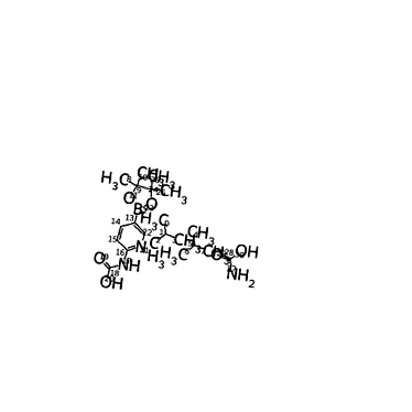 CC(C)C.CC(C)C.CC1(C)OB(c2ccc(NC(=O)O)nc2)OC1(C)C.NC(=O)O